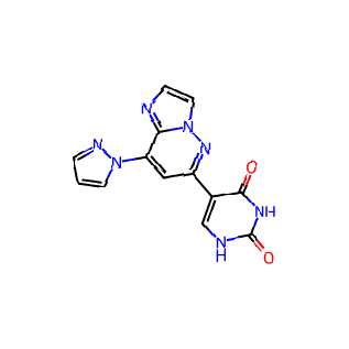 O=c1[nH]cc(-c2cc(-n3cccn3)c3nccn3n2)c(=O)[nH]1